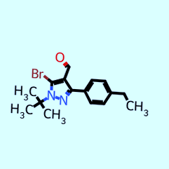 CCc1ccc(-c2nn(C(C)(C)C)c(Br)c2C=O)cc1